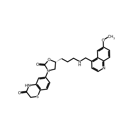 COc1ccc2nccc(CNCCC[C@@H]3CN(c4ccc5c(c4)NC(=O)CS5)C(=O)O3)c2c1